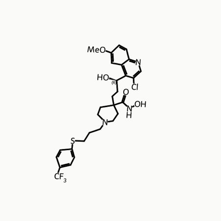 COc1ccc2ncc(Cl)c([C@H](O)CCC3(C(=O)NO)CCN(CCCSc4ccc(C(F)(F)F)cc4)CC3)c2c1